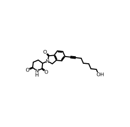 O=C1CCC(N2Cc3cc(C#CCCCCCO)ccc3C2=O)C(=O)N1